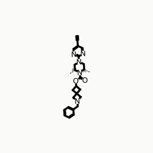 C#Cc1cnc(N2C[C@@H](C)N(C(=O)OC3CC4(C3)CN(Cc3ccccc3)C4)[C@@H](C)C2)nc1